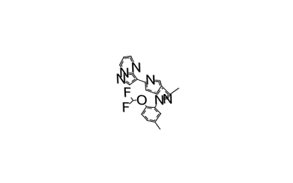 Cc1ccc(OC(F)F)c(-n2nc(C)c3cnc(-c4cnn5cccnc45)cc32)c1